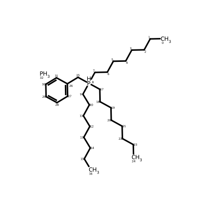 CCCCCCCC[PH](CCCCCCCC)(CCCCCCCC)Cc1ccccc1.P